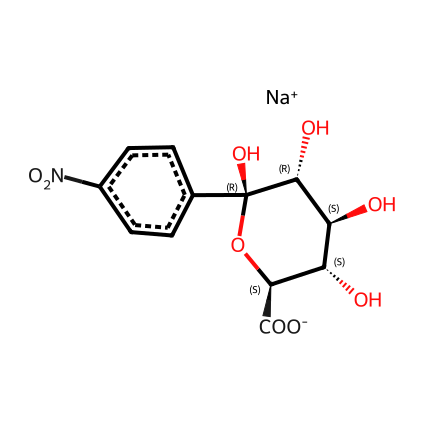 O=C([O-])[C@H]1O[C@](O)(c2ccc([N+](=O)[O-])cc2)[C@H](O)[C@@H](O)[C@@H]1O.[Na+]